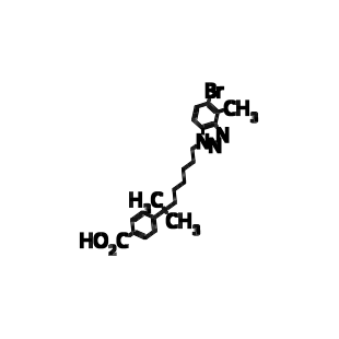 Cc1c(Br)ccc2c1nnn2CCCCCCC(C)(C)c1ccc(C(=O)O)cc1